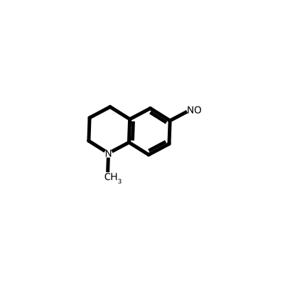 CN1CCCc2cc(N=O)ccc21